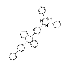 c1ccc(C2=NC(c3ccc(-c4c5ccccc5c(-c5ccc(-c6ccccc6)cc5)c5ccccc45)cc3)=NC(c3ccccc3)N2)cc1